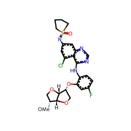 CO[C@@H]1CO[C@H]2[C@@H]1OC[C@H]2Oc1cc(F)ccc1Nc1ncnc2cc(N=S3(=O)CCCC3)cc(Cl)c12